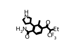 CCC(C(=O)c1ccc(C(N)=O)c(C2CCNC2)c1C)C(F)(F)F